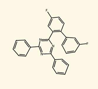 Fc1cccc(-c2ccc(F)cc2-c2nc(-c3ccccc3)nc(-c3ccccc3)n2)c1